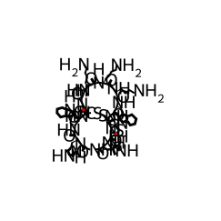 C[C@@H]1NC(=O)[C@@H]2CSSC(NC(=O)[C@H](Cc3c[nH]c4ccccc34)NC(=O)[C@H](CCCCN)NC(=O)[C@H](CCCCN)NC(=O)[C@H](CCCCN)NC1=O)C(=O)N1CSC[C@H]1C(=O)N[C@@H](Cc1c[nH]cn1)C(=O)NCC(=O)N[C@@H](Cc1c[nH]cn1)C(=O)N[C@@H](Cc1c[nH]c3ccccc13)C(=O)N2